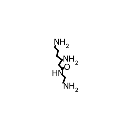 NCCC[C@@H](N)CC(=O)NCCN